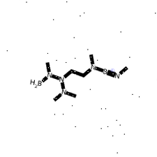 BN(C)N(CCN(C)/B=N/C)N(C)C